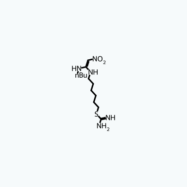 CCCCN/C(=C/[N+](=O)[O-])NCCCCCCSC(=N)N